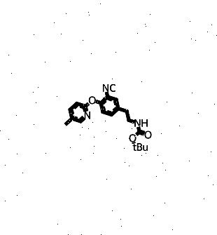 [C-]#[N+]c1cc(CCNC(=O)OC(C)(C)C)ccc1Oc1ccc(C)cn1